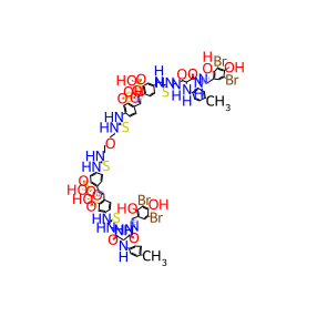 Cc1ccc(NC(C(=O)N/N=C/c2cc(Br)c(O)c(Br)c2O)C(=O)NNC(=S)Nc2ccc(/C=C/c3ccc(NC(=S)NCCOCCNC(=S)Nc4ccc(/C=C/c5ccc(NC(=S)NNC(=O)C(Nc6ccc(C)cc6)C(=O)N/N=C/c6cc(Br)c(O)c(Br)c6O)cc5S(=O)(=O)O)c(S(=O)(=O)O)c4)cc3S(=O)(=O)O)c(S(=O)(=O)O)c2)cc1